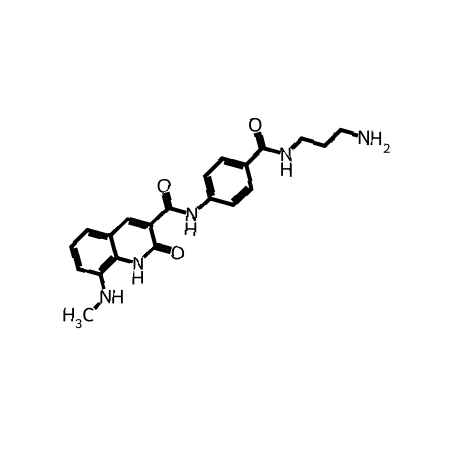 CNc1cccc2cc(C(=O)Nc3ccc(C(=O)NCCCN)cc3)c(=O)[nH]c12